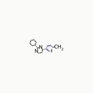 C=C/C=C\C(=C/I)c1ccnc(-c2ccccc2)n1